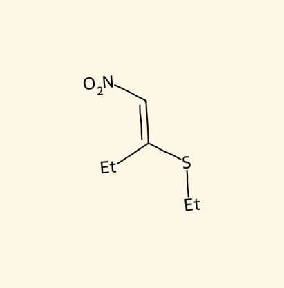 CCS/C(=C/[N+](=O)[O-])CC